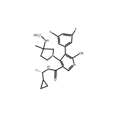 C[C@H](NC(=O)c1cnc(C#N)c(-c2cc(F)cc(F)c2)c1N1CCC(C)(NC(=O)O)C1)C1CC1